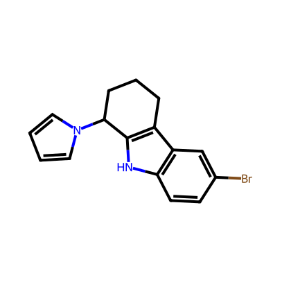 Brc1ccc2[nH]c3c(c2c1)CCCC3n1cccc1